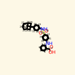 O=C(O)c1ccccc1Nc1ccc(S(=O)(=O)Nc2ccc(C34CC5CC6CC(C3)C54C6)cc2)cc1